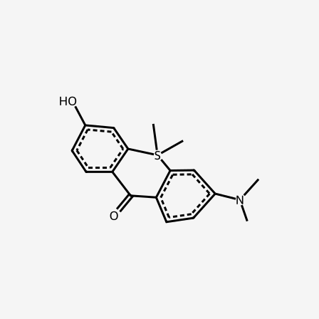 CN(C)c1ccc2c(c1)S(C)(C)c1cc(O)ccc1C2=O